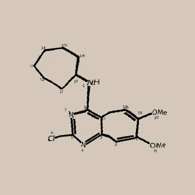 COc1cc2nc(Cl)nc(NC3CCCCCC3)c2cc1OC